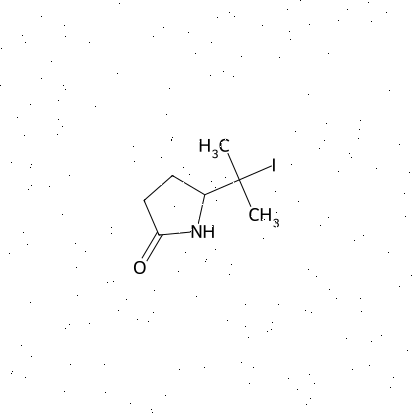 CC(C)(I)C1CCC(=O)N1